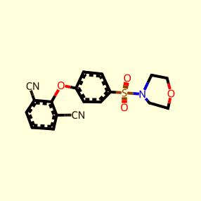 N#Cc1cccc(C#N)c1Oc1ccc(S(=O)(=O)N2CCOCC2)cc1